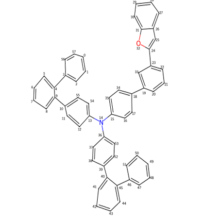 c1ccc(-c2ccccc2-c2ccc(N(c3ccc(-c4cccc(-c5cc6ccccc6o5)c4)cc3)c3ccc(-c4ccccc4-c4ccccc4)cc3)cc2)cc1